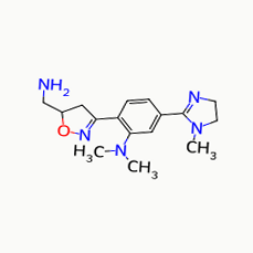 CN1CCN=C1c1ccc(C2=NOC(CN)C2)c(N(C)C)c1